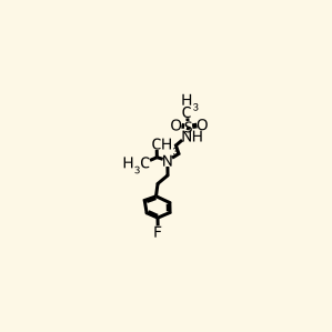 CC(C)N(CCNS(C)(=O)=O)CCc1ccc(F)cc1